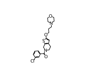 O=C(c1cccc(Cl)c1)N1CCc2cc(OCCCN3CCOCC3)sc2C1